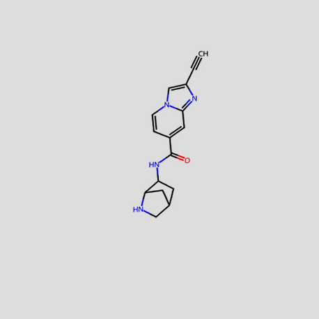 C#Cc1cn2ccc(C(=O)NC3CC4CNC3C4)cc2n1